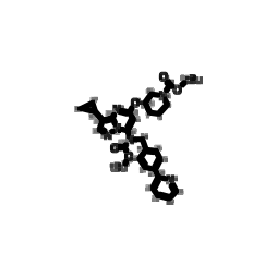 CC(C)(C)OC(=O)N1CCC[C@H](Oc2cc(N(Cc3ccc(-c4ccccn4)cc3)C(=O)OC(C)(C)C)n3ncc(C4CC4)c3n2)C1